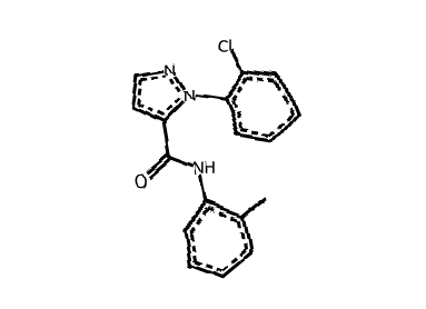 Cc1ccccc1NC(=O)c1ccnn1-c1ccccc1Cl